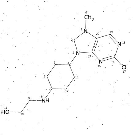 CN1CN(C2CCC(NCCO)CC2)c2nc(Cl)ncc21